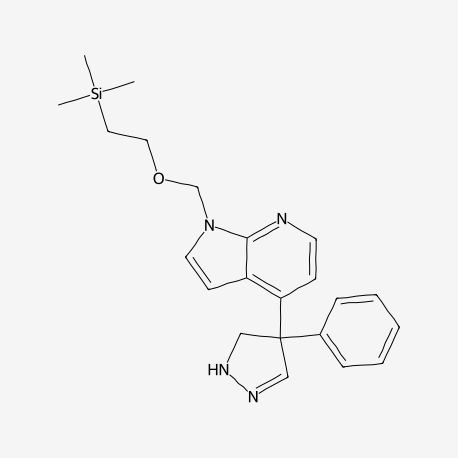 C[Si](C)(C)CCOCn1ccc2c(C3(c4ccccc4)C=NNC3)ccnc21